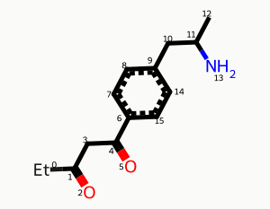 CCC(=O)CC(=O)c1ccc(CC(C)N)cc1